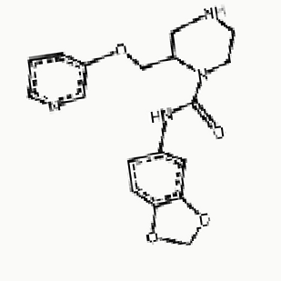 O=C(Nc1ccc2c(c1)OCO2)N1CCNCC1COc1cccnc1